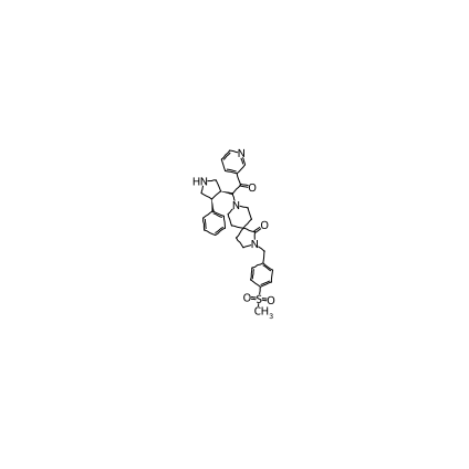 CS(=O)(=O)c1ccc(CN2CCC3(CCN(C(C(=O)c4cccnc4)[C@@H]4CNC[C@@H]4c4ccccc4)CC3)C2=O)cc1